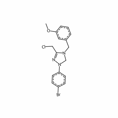 COc1cccc(CN2CN(c3ccc(Br)cc3)N=C2CCl)c1